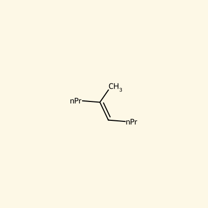 [CH2]CC/C=C(\C)CCC